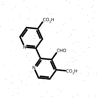 O=Cc1c(C(=O)O)ccnc1-c1cc(C(=O)O)ccn1